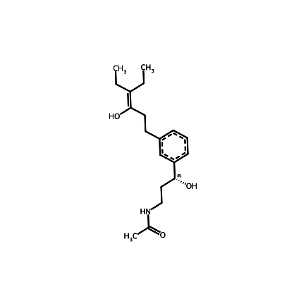 CCC(CC)=C(O)CCc1cccc([C@H](O)CCNC(C)=O)c1